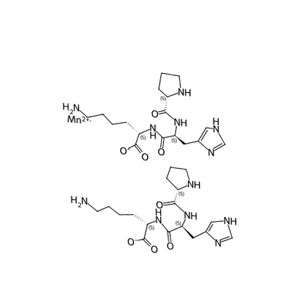 NCCCC[C@H](NC(=O)[C@H](Cc1c[nH]cn1)NC(=O)[C@@H]1CCCN1)C(=O)[O-].NCCCC[C@H](NC(=O)[C@H](Cc1c[nH]cn1)NC(=O)[C@@H]1CCCN1)C(=O)[O-].[Mn+2]